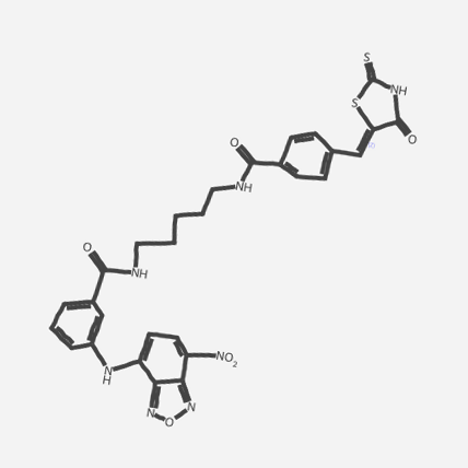 O=C1NC(=S)S/C1=C\c1ccc(C(=O)NCCCCCNC(=O)c2cccc(Nc3ccc([N+](=O)[O-])c4nonc34)c2)cc1